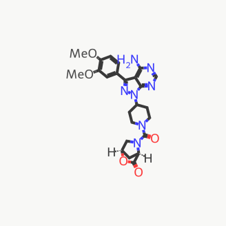 COc1ccc(-c2nn(C3CCN(C(=O)N4C[C@H]5C[C@@H]4C(=O)O5)CC3)c3ncnc(N)c23)cc1OC